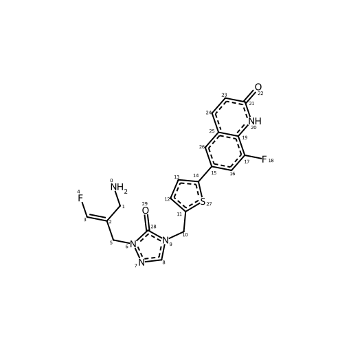 NC/C(=C\F)Cn1ncn(Cc2ccc(-c3cc(F)c4[nH]c(=O)ccc4c3)s2)c1=O